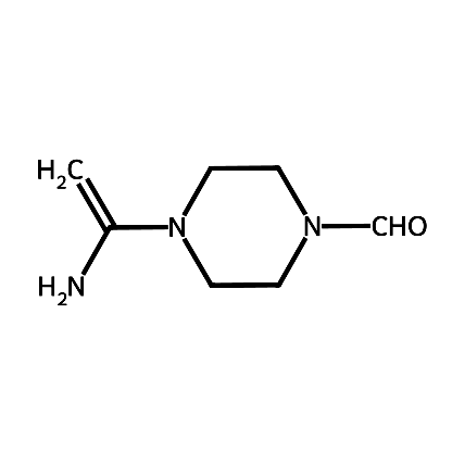 C=C(N)N1CCN(C=O)CC1